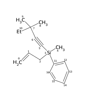 C=CC[Si](C)(C#CC(C)(C)CC)c1ccccc1